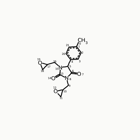 Cc1ccc(C2C(=O)N(CC3CO3)C(=O)N2CC2CO2)cc1